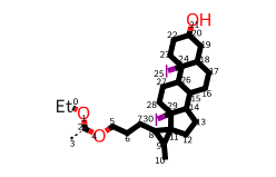 CCO[C@@H](C)OCCCC1C(C)C12CCC1C3CCC4CC(O)CCC4(I)C3CCC12I